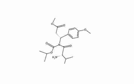 COC(=O)C[C@H](c1ccc(OC)cc1)N(C(=O)OC(C)C)C(=O)[C@@H](N)C(C)C